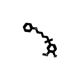 COc1cc(C(C)(C)CCCCOc2ccccc2)ccc1Br